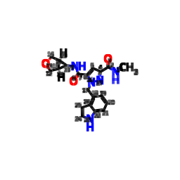 CNC(=O)c1cc(C(=O)NC2[C@H]3COC[C@@H]23)n(Cc2cccc3[nH]ccc23)n1